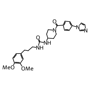 COc1ccc(CCCNC(=O)NC2CCN(C(=O)c3ccc(-n4ccnc4)cc3)CC2)cc1OC